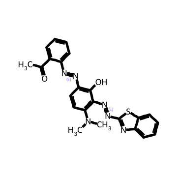 CC(=O)c1ccccc1/N=N/c1ccc(N(C)C)c(/N=N/c2nc3ccccc3s2)c1O